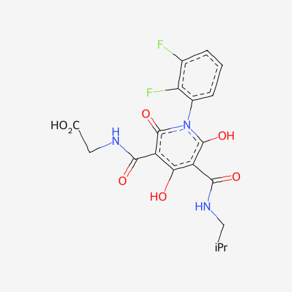 CC(C)CNC(=O)c1c(O)c(C(=O)NCC(=O)O)c(=O)n(-c2cccc(F)c2F)c1O